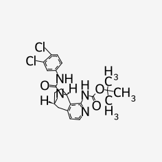 CC(C)(C)OC(=O)Nc1nccc2c1[C@H]1CC[C@@H](C2)N1C(=O)Nc1ccc(Cl)c(Cl)c1